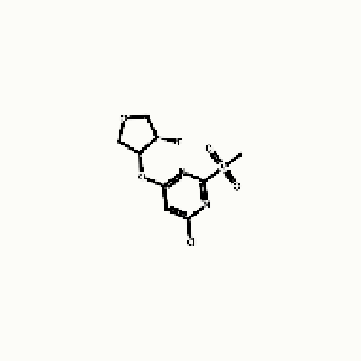 CS(=O)(=O)c1nc(Cl)cc(O[C@H]2COC[C@H]2F)n1